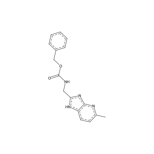 Cc1ccc2[nH]c(CNC(=O)OCc3ccccc3)nc2n1